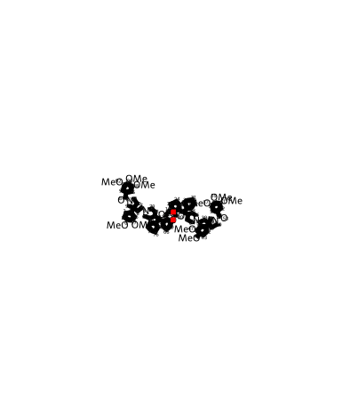 COc1ccc(C2(CCN3CCC(C(OC(=O)/C=C\C(=O)OC(c4ccccc4)(c4ccccc4)C4CCN(CCC5(c6ccc(OC)c(OC)c6)CCN(C(=O)c6cc(OC)c(OC)c(OC)c6)C5)CC4)(c4ccccc4)c4ccccc4)CC3)CCN(C(=O)c3cc(OC)c(OC)c(OC)c3)C2)cc1OC